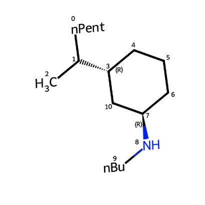 CCCCCC(C)[C@@H]1CCC[C@@H](NCCCC)C1